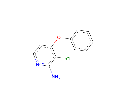 Nc1nccc(Oc2cc[c]cc2)c1Cl